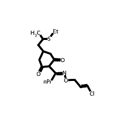 CCCC(=NOCC=CCl)C1C(=O)CC(CC(C)SCC)CC1=O